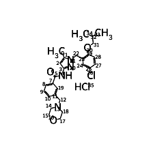 Cc1cc(NC(=O)c2cccc(CN3CCOCC3)c2)nn1Cc1cc(Cl)ccc1OCC(C)C.Cl